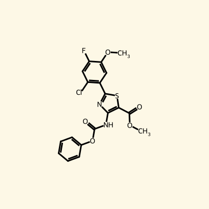 COC(=O)c1sc(-c2cc(OC)c(F)cc2Cl)nc1NC(=O)Oc1ccccc1